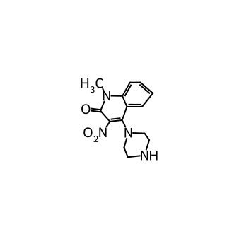 Cn1c(=O)c([N+](=O)[O-])c(N2CCNCC2)c2ccccc21